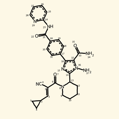 N#CC(=CC1CC1)C(=O)N1CCCCC1c1nc(-c2ccc(C(=O)Nc3ccccn3)cc2)c(C(N)=O)n1N